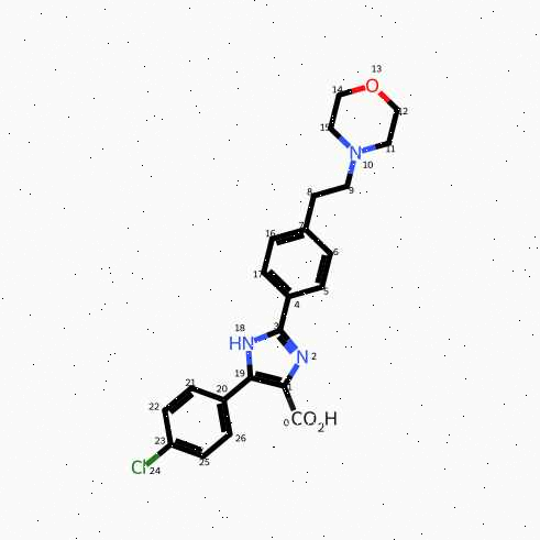 O=C(O)c1nc(-c2ccc(CCN3CCOCC3)cc2)[nH]c1-c1ccc(Cl)cc1